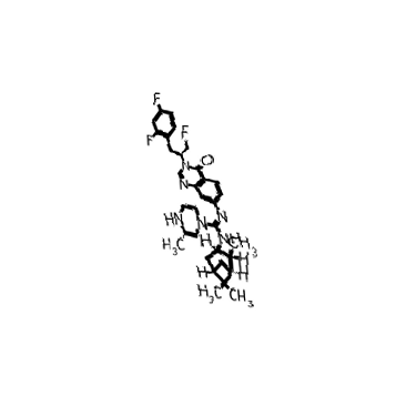 C[C@H]1[C@@H](NC(=Nc2ccc3c(=O)n([C@H](CF)Cc4ccc(F)cc4F)cnc3c2)N2CCN[C@@H](C)C2)C[C@@H]2C[C@@H]1C2(C)C